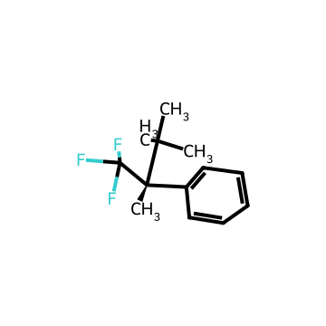 CC(C)(C)[C@](C)(c1ccccc1)C(F)(F)F